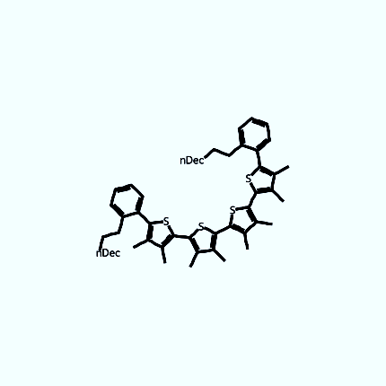 CCCCCCCCCCCCc1ccccc1-c1sc(-c2sc(-c3sc(-c4sc(-c5ccccc5CCCCCCCCCCCC)c(C)c4C)c(C)c3C)c(C)c2C)c(C)c1C